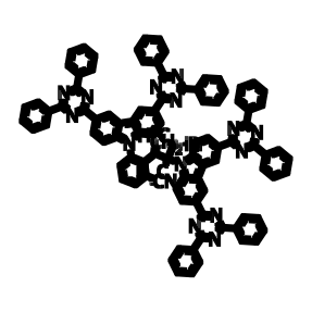 C=C(c1c(C#N)cccc1-n1c2ccc(-c3nc(-c4ccccc4)nc(-c4ccccc4)n3)cc2c2cc(-c3nc(-c4ccccc4)nc(-c4ccccc4)n3)ccc21)C(C)([C@H](C)C(C)C)n1c2ccc(-c3nc(-c4ccccc4)nc(-c4ccccc4)n3)cc2c2cc(-c3nc(-c4ccccc4)nc(-c4ccccc4)n3)ccc21